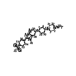 CC(C)N1CCN(c2ccc(-c3cnc4nc(-c5ccc(S(C)(=O)=O)cc5)n(C)c4c3)cc2)CC1